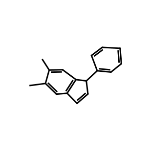 Cc1cc2c(cc1C)C(c1ccccc1)C=C2